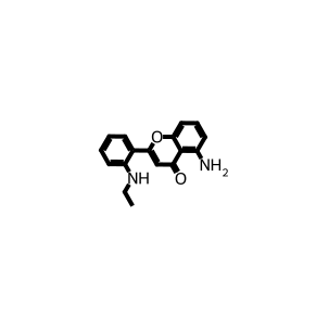 CCNc1ccccc1-c1cc(=O)c2c(N)cccc2o1